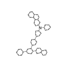 c1ccc(-c2ccc(-c3ccc4ccccc4c3)c(-c3ccc(-c4ccc(N(c5ccccc5)c5ccc6c(ccc7ccccc76)c5)cc4)cc3)c2)cc1